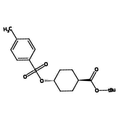 Cc1ccc(S(=O)(=O)O[C@H]2CC[C@H](C(=O)OC(C)(C)C)CC2)cc1